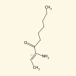 C/C=C(\N)C(=O)CCCCCC